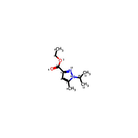 CCOC(=O)c1cc(C)n(C(C)C)n1